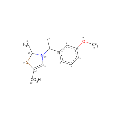 CC(c1cccc(OC(F)(F)F)c1)N1C=C(C(=O)O)SC1C(F)(F)F